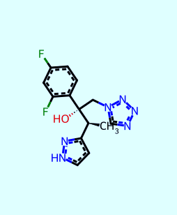 C[C@@H](c1cc[nH]n1)[C@](O)(Cn1cnnn1)c1ccc(F)cc1F